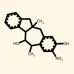 CC1c2cc([N+](=O)[O-])c(O)cc2CC2(C)Cc3ccccc3C2C1O